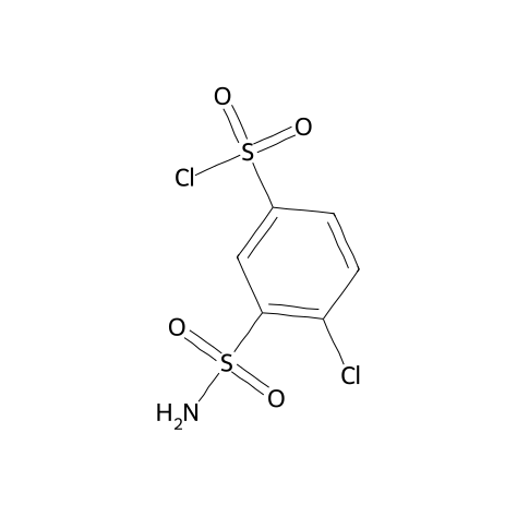 NS(=O)(=O)c1cc(S(=O)(=O)Cl)ccc1Cl